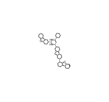 c1ccc2c(c#1)oc1c(-c3ccc4c(c3)sc3cc(C5C=C(c6ccccc6)NC(c6ccc7oc8ccccc8c7c6)N5)ccc34)cccc12